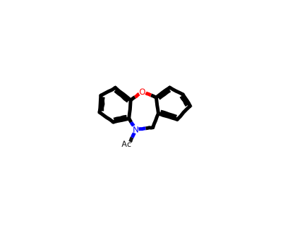 CC(=O)N1Cc2ccccc2Oc2ccccc21